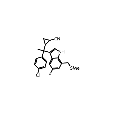 CSCc1cc(F)cc2c(C(C)(c3ccc(Cl)cc3)C3CC3C#N)c[nH]c12